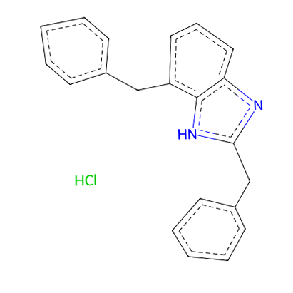 Cl.c1ccc(Cc2nc3cccc(Cc4ccccc4)c3[nH]2)cc1